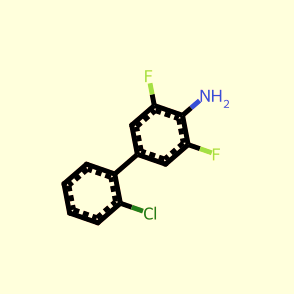 Nc1c(F)cc(-c2ccccc2Cl)cc1F